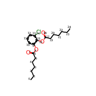 CCCCCCC(=O)Oc1cccc(Cl)c1OC(=O)CCCCCC